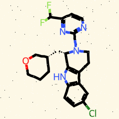 FC(F)c1ccnc(N2CCc3c([nH]c4ccc(Cl)cc34)[C@@H]2C[C@@H]2CCCOC2)n1